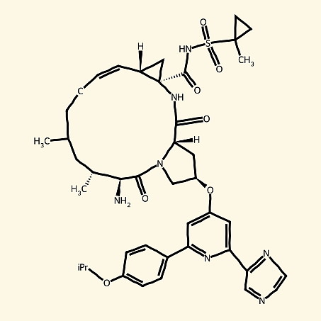 CC1CC/C=C\[C@@H]2C[C@@]2(C(=O)NS(=O)(=O)C2(C)CC2)NC(=O)[C@@H]2C[C@@H](Oc3cc(-c4ccc(OC(C)C)cc4)nc(-c4cnccn4)c3)CN2C(=O)[C@@H](N)[C@H](C)C1